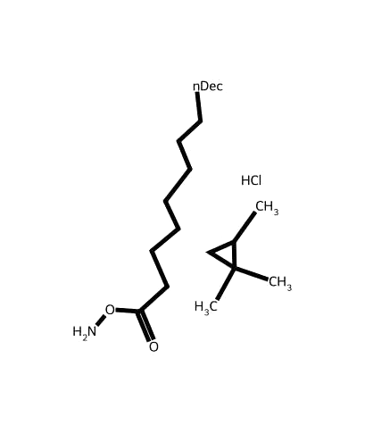 CC1CC1(C)C.CCCCCCCCCCCCCCCCCC(=O)ON.Cl